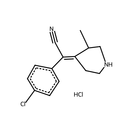 CC1CNCCC1=C(C#N)c1ccc(Cl)cc1.Cl